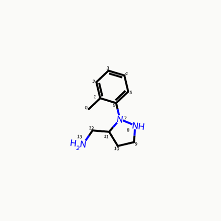 Cc1ccccc1N1NCCC1CN